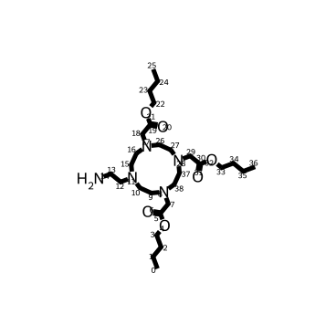 CCCCOC(=O)CN1CCN(CCN)CCN(CC(=O)OCCCC)CCN(CC(=O)OCCCC)CC1